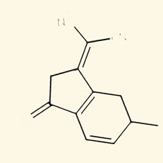 CC1C=CC2=C(C1)C(=C(C#N)C#N)CC2=O